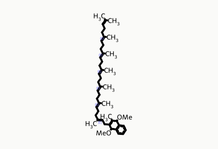 COC1C(C)=C(C/C=C(\C)CC/C=C(\C)CC/C=C(\C)CC/C=C(\C)CC/C=C(\C)CC/C=C(\C)CCC=C(C)C)C(OC)c2ccccc21